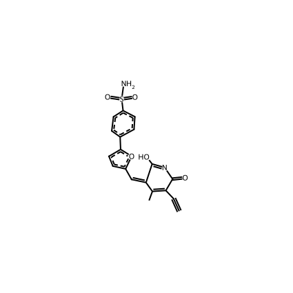 C#CC1=C(C)/C(=C/c2ccc(-c3ccc(S(N)(=O)=O)cc3)o2)C(O)=NC1=O